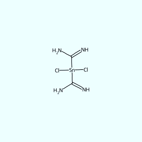 N=[C](N)[Sn]([Cl])([Cl])[C](=N)N